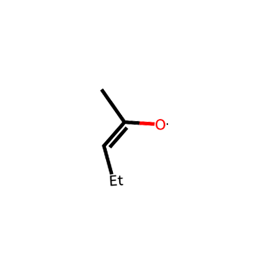 CC/C=C(/C)[O]